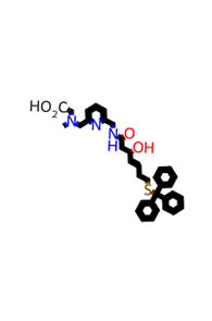 CN(CC(=O)O)Cc1cccc(CNC(=O)CC(O)C=CCCSC(c2ccccc2)(c2ccccc2)c2ccccc2)n1